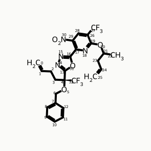 C=CCC[C@@](OCc1ccccc1)(c1nnc(-c2nc(OC(C)CC=C)c(C(F)(F)F)cc2[N+](=O)[O-])o1)C(F)(F)F